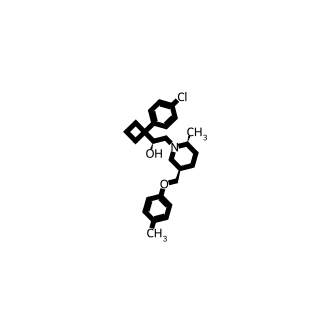 Cc1ccc(OC[C@@H]2CC[C@@H](C)N(C[C@H](O)C3(c4ccc(Cl)cc4)CCC3)C2)cc1